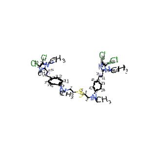 CN(CCSSCCN(C)c1ccc(/C=C/c2n(C)c(Cl)c(Cl)[n+]2C)cc1)c1ccc(/C=C/c2nc(Cl)c(Cl)n2C)cc1